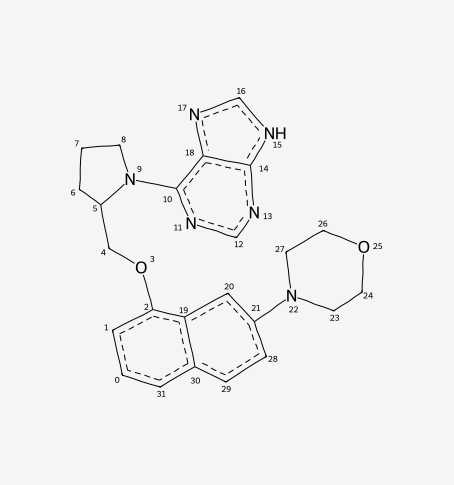 c1cc(OCC2CCCN2c2ncnc3[nH]cnc23)c2cc(N3CCOCC3)ccc2c1